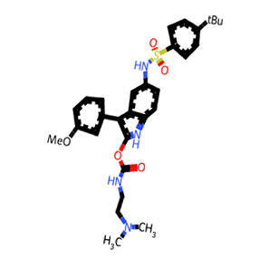 COc1cccc(-c2c(OC(=O)NCCN(C)C)[nH]c3ccc(NS(=O)(=O)c4ccc(C(C)(C)C)cc4)cc23)c1